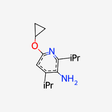 CC(C)c1cc(OC2CC2)nc(C(C)C)c1N